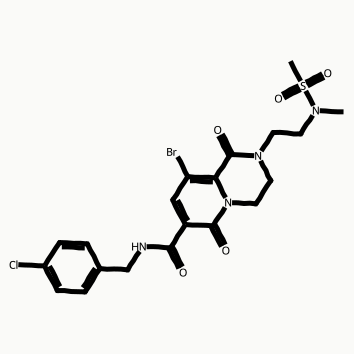 CN(CCN1CCn2c(c(Br)cc(C(=O)NCc3ccc(Cl)cc3)c2=O)C1=O)S(C)(=O)=O